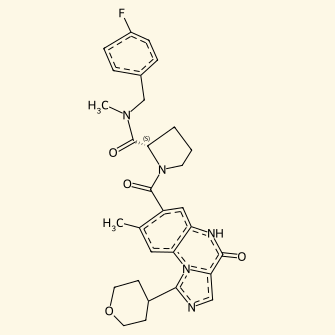 Cc1cc2c(cc1C(=O)N1CCC[C@H]1C(=O)N(C)Cc1ccc(F)cc1)[nH]c(=O)c1cnc(C3CCOCC3)n12